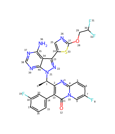 C[C@H](c1nc2ccc(F)cn2c(=O)c1-c1cccc(F)c1)n1nc(-c2cnc(OCC(F)F)s2)c2c(N)ncnc21